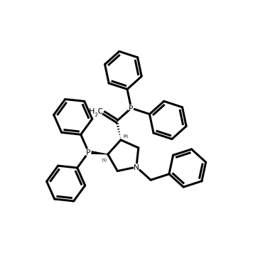 C=C([C@@H]1CN(Cc2ccccc2)C[C@H]1P(c1ccccc1)c1ccccc1)P(c1ccccc1)c1ccccc1